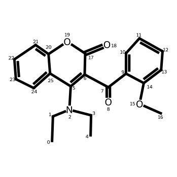 CCN(CC)c1c(C(=O)c2ccccc2OC)c(=O)oc2ccccc12